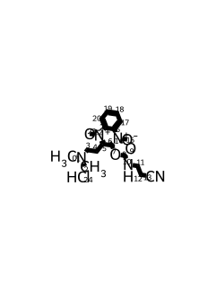 CN(C)CCc1c(OC(=O)NCCC#N)[n+]([O-])c2ccccc2[n+]1[O-].Cl